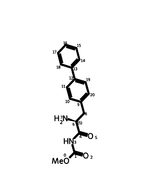 COC(=O)NC(=O)[C@@H](N)Cc1ccc(-c2ccccc2)cc1